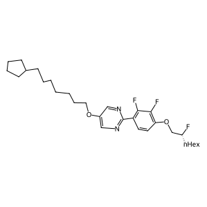 CCCCCC[C@@H](F)COc1ccc(-c2ncc(OCCCCCCCC3CCCC3)cn2)c(F)c1F